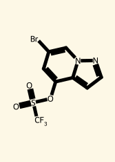 O=S(=O)(Oc1cc(Br)cn2nccc12)C(F)(F)F